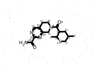 CC1CSC(C)C(C(=O)N2CCc3[c]nc(C(N)=O)nc3C2)C1